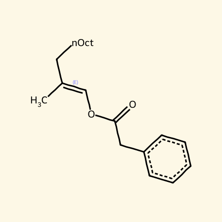 CCCCCCCCC/C(C)=C/OC(=O)Cc1ccccc1